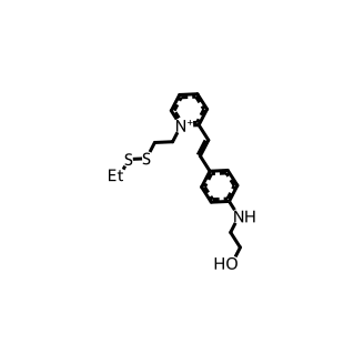 CCSSCC[n+]1ccccc1/C=C/c1ccc(NCCO)cc1